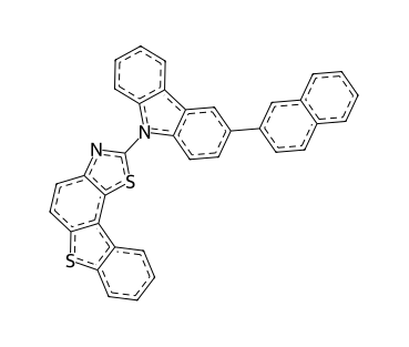 c1ccc2cc(-c3ccc4c(c3)c3ccccc3n4-c3nc4ccc5sc6ccccc6c5c4s3)ccc2c1